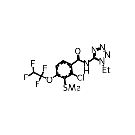 CCn1nnnc1NC(=O)c1ccc(OC(F)(F)C(F)F)c(SC)c1Cl